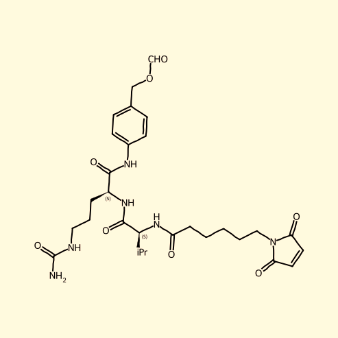 CC(C)[C@H](NC(=O)CCCCCN1C(=O)C=CC1=O)C(=O)N[C@@H](CCCNC(N)=O)C(=O)Nc1ccc(COC=O)cc1